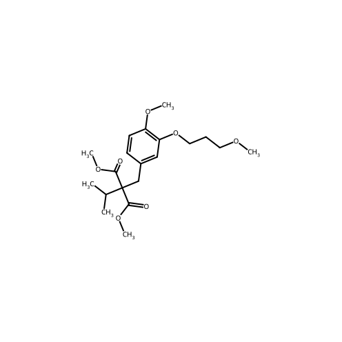 COCCCOc1cc(CC(C(=O)OC)(C(=O)OC)C(C)C)ccc1OC